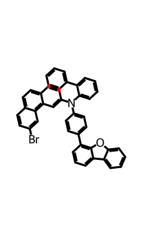 Brc1ccc2ccc3ccc(N(c4ccc(-c5cccc6c5oc5ccccc56)cc4)c4ccccc4-c4ccccc4)cc3c2c1